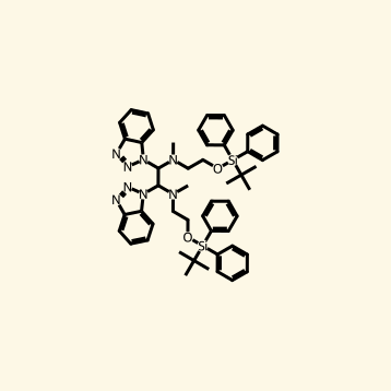 CN(CCO[Si](c1ccccc1)(c1ccccc1)C(C)(C)C)C(C(N(C)CCO[Si](c1ccccc1)(c1ccccc1)C(C)(C)C)n1nnc2ccccc21)n1nnc2ccccc21